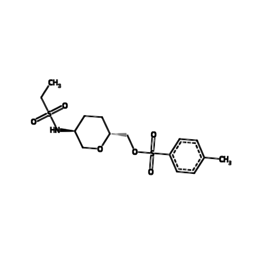 CCS(=O)(=O)N[C@H]1CC[C@H](COS(=O)(=O)c2ccc(C)cc2)OC1